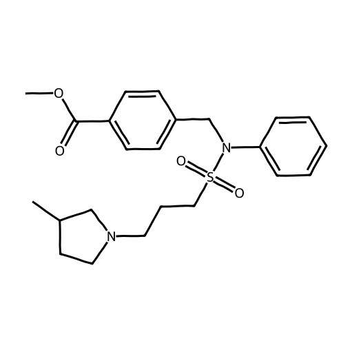 COC(=O)c1ccc(CN(c2ccccc2)S(=O)(=O)CCCN2CCC(C)C2)cc1